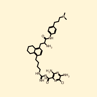 CN(C)CCCc1ccc(NC(=O)C(N)Cc2ccc(CCCCNC(=N)NC(=O)c3nc(Cl)c(N)nc3N)c3c2CCCC3)cc1